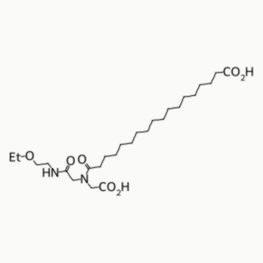 CCOCCNC(=O)CN(CC(=O)O)C(=O)CCCCCCCCCCCCCCCCC(=O)O